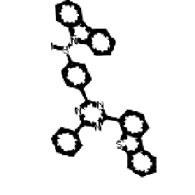 IB(c1ccc(-c2nc(-c3ccccc3)nc(-c3cccc4c3sc3ccccc34)n2)cc1)n1c2ccccc2c2ccccc21